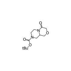 CC(C)(C)OC(=O)N1CCN2C(=O)COCC2C1